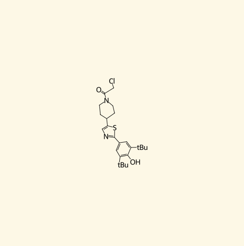 CC(C)(C)c1cc(-c2ncc(C3CCN(C(=O)CCl)CC3)s2)cc(C(C)(C)C)c1O